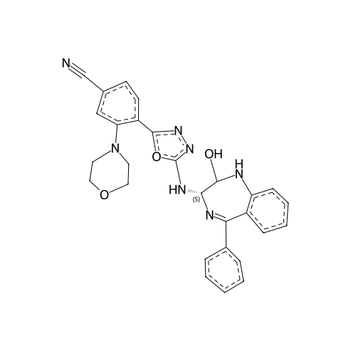 N#Cc1ccc(-c2nnc(N[C@H]3N=C(c4ccccc4)c4ccccc4NC3O)o2)c(N2CCOCC2)c1